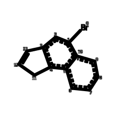 Brc1cc2c(c3ccccc13)CC=C2